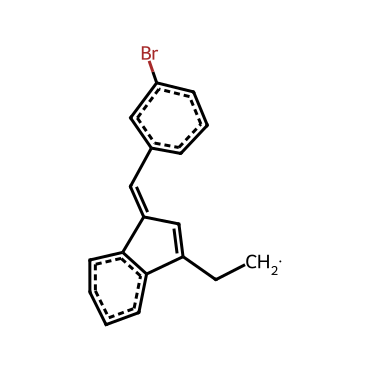 [CH2]CC1=CC(=Cc2cccc(Br)c2)c2ccccc21